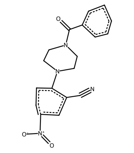 N#Cc1cc([N+](=O)[O-])ccc1N1CCN(C(=O)c2ccccc2)CC1